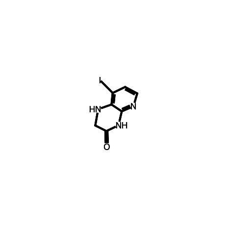 O=C1CNc2c(I)ccnc2N1